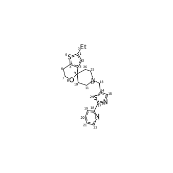 CCc1cc2c(s1)CCOC21CCN(Cc2cnc(-c3ccccn3)s2)CC1